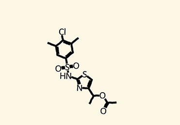 CC(=O)OC(C)c1csc(NS(=O)(=O)c2cc(C)c(Cl)c(C)c2)n1